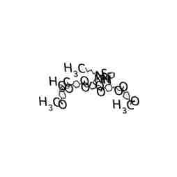 CCCCCCN(NCc1cc(OC(=O)C2CCC(C(C)OC(=O)C3CCC(C(C)=O)CC3)CC2)ccc1OC(=O)C1CCC(COC(=O)C2CCC(C(C)=O)CC2)CC1)c1nc2ccccc2s1